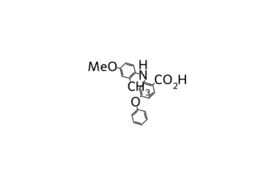 COc1ccc(Nc2cc(Oc3ccccc3)ccc2C(=O)O)c(C)c1